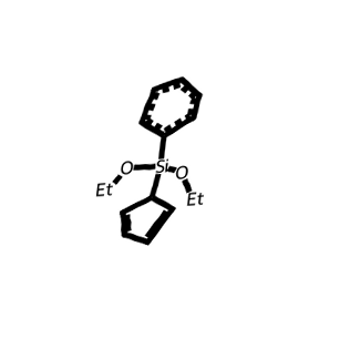 CCO[Si](OCC)(c1ccccc1)C1C=CC=C1